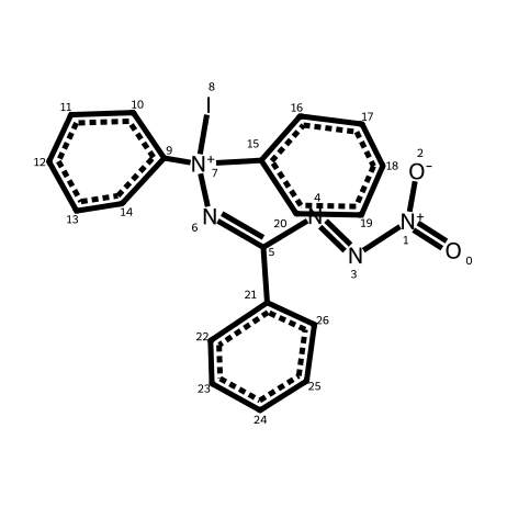 O=[N+]([O-])N=NC(=N[N+](I)(c1ccccc1)c1ccccc1)c1ccccc1